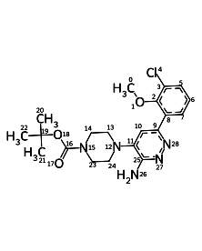 COc1c(Cl)cccc1-c1cc(N2CCN(C(=O)OC(C)(C)C)CC2)c(N)nn1